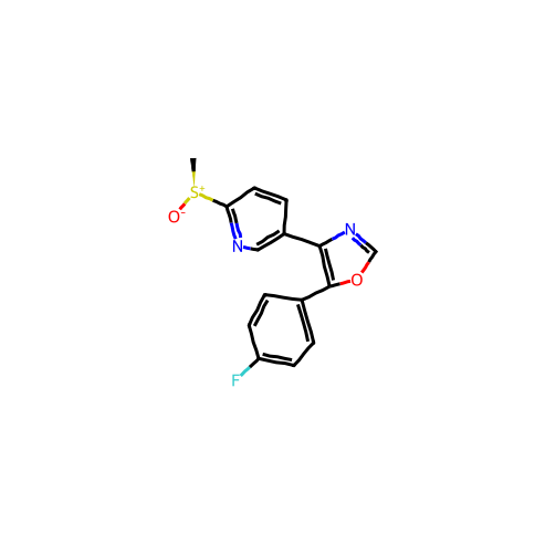 C[S@+]([O-])c1ccc(-c2ncoc2-c2ccc(F)cc2)cn1